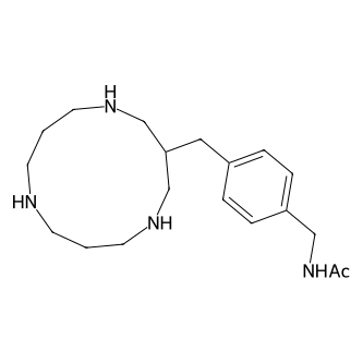 CC(=O)NCc1ccc(CC2CNCCCNCCCNC2)cc1